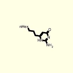 CCCCCCCCCc1cc(=O)nc(N)[nH]1